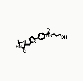 O=C1NC(=S)N/C1=C\c1ccc(-c2ccc(C(=O)NCCCO)cc2)s1